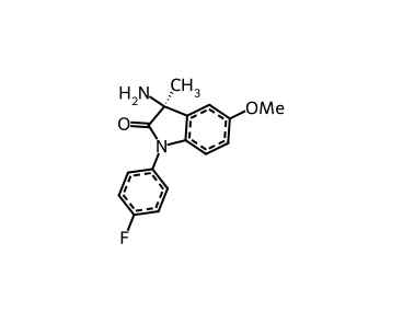 COc1ccc2c(c1)[C@](C)(N)C(=O)N2c1ccc(F)cc1